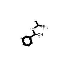 CC(N)OC(O)c1ccccc1